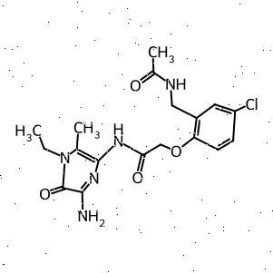 CCn1c(C)c(NC(=O)COc2ccc(Cl)cc2CNC(C)=O)nc(N)c1=O